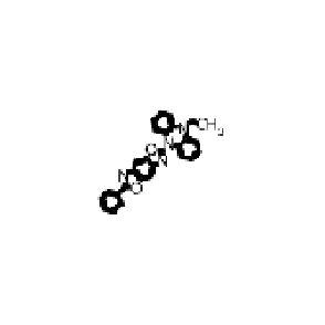 CCN1c2ccccc2N(c2nc3cc4oc(-c5ccccc5)nc4cc3o2)c2ccccc21